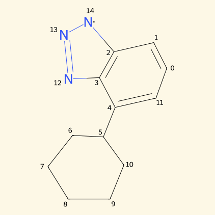 c1cc2c(c(C3CCCCC3)c1)N=N[N]2